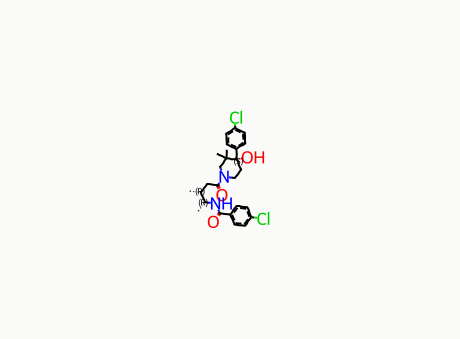 C[C@H](CC(=O)N1CC[C@](O)(c2ccc(Cl)cc2)C(C)(C)C1)[C@@H](C)NC(=O)c1ccc(Cl)cc1